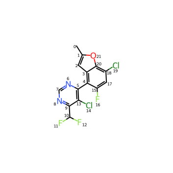 Cc1cc2c(-c3ncnc(C(F)F)c3Cl)c(F)cc(Cl)c2o1